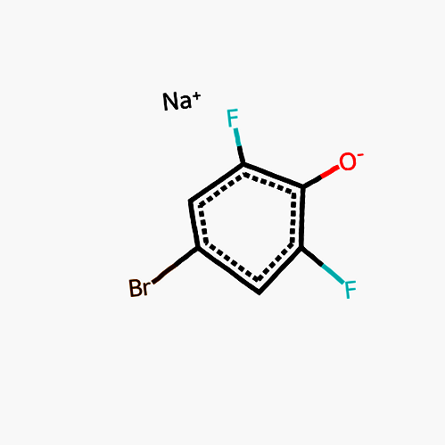 [Na+].[O-]c1c(F)cc(Br)cc1F